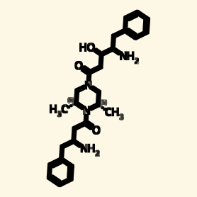 C[C@@H]1CN(C(=O)CC(O)C(N)Cc2ccccc2)C[C@H](C)N1C(=O)CC(N)Cc1ccccc1